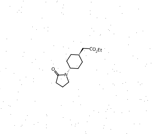 CCOC(=O)C[C@H]1CC[C@H](N2CCCC2=O)CC1